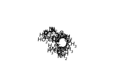 CC[C@H]1OC(=O)[C@H](C)C(=O)[C@H](C)[C@@H](O[C@@H]2O[C@H](C)CC(N)C2O)[C@](C)(OC)C[C@@H](C)CN[C@H](CCN[C@H](CC(=O)O)C(=O)O)[C@H]2N(CCCCn3cc(-c4cccc(N)c4)nn3)C(=O)O[C@]12C